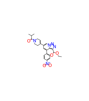 CCOC(=O)c1nnn2cc(C3=CCN(C(=O)C(C)C)CC3)cc(-c3ccc([N+](=O)[O-])cc3)c12